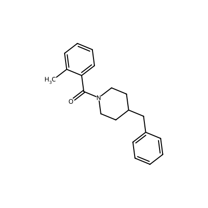 Cc1ccccc1C(=O)N1CCC(Cc2ccccc2)CC1